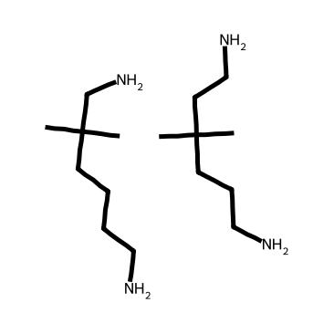 CC(C)(CCN)CCCN.CC(C)(CN)CCCCN